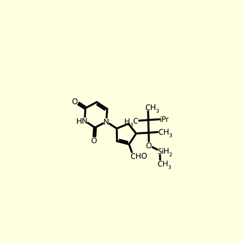 C[SiH2]OC(C)(C1CC(n2ccc(=O)[nH]c2=O)C=C1C=O)C(C)(C)C(C)C